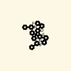 Fc1cc(-c2ccccc2)ccc1N(c1ccccc1)c1cc2c(c3oc4ccccc4c13)-c1c(cc(N(c3ccccc3)c3ccc(-c4ccccc4)cc3F)c3c1sc1ccccc13)C2(c1ccccc1)c1ccccc1